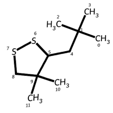 CC(C)(C)CC1SSCC1(C)C